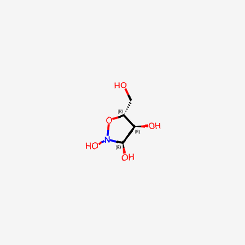 OC[C@H]1ON(O)[C@H](O)[C@@H]1O